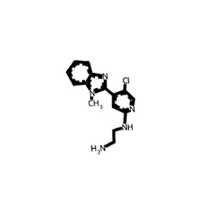 Cn1c(-c2cc(NCCN)ncc2Cl)nc2ccccc21